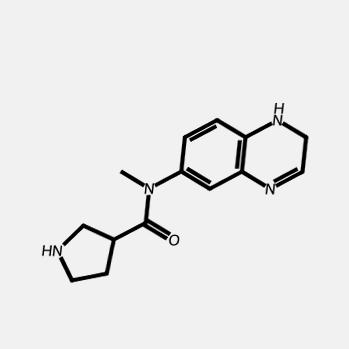 CN(C(=O)C1CCNC1)c1ccc2c(c1)N=CCN2